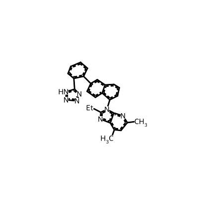 CCc1nc2c(C)cc(C)nc2n1-c1cccc2cc(-c3ccccc3-c3nnn[nH]3)ccc12